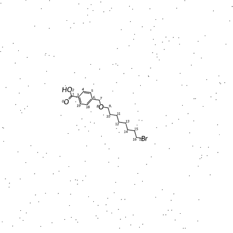 O=C(O)c1ccc(COCCCCCCCCBr)cc1